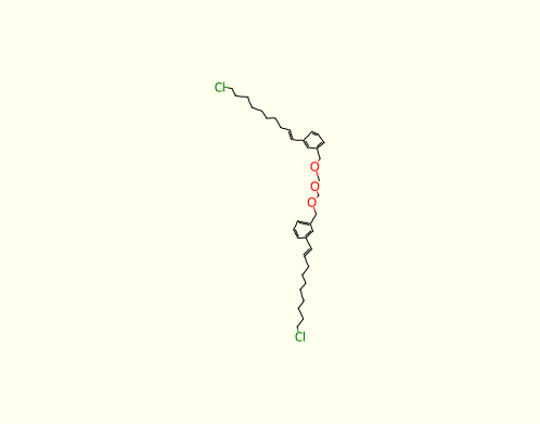 ClCCCCCCCCC=Cc1cccc(COCOCOCc2cccc(C=CCCCCCCCCCl)c2)c1